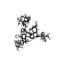 Cn1nc(NS(=O)(=O)C2(C)CC2)c2c(Cl)ccc(-c3ccc(C#CC(C)(C)S(=O)(=O)C4CC4)nc3[C@H](Cc3cc(F)cc(F)c3)NC(=O)Cn3nc(C(F)(F)F)c4c3C(F)(F)[C@@H]3C[C@H]43)c21